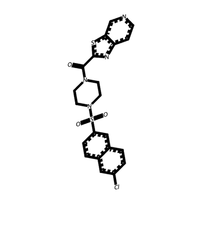 O=C(c1nc2ccncc2s1)N1CCN(S(=O)(=O)c2ccc3cc(Cl)ccc3c2)CC1